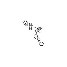 CC=Nn1c(CCCNCc2ccccn2)cc(-c2cccc(OCc3ccccc3)c2)c1C